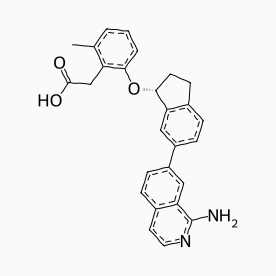 Cc1cccc(O[C@@H]2CCc3ccc(-c4ccc5ccnc(N)c5c4)cc32)c1CC(=O)O